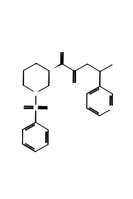 CC(CC(=N)C(=O)[C@@H]1CCCN(S(=O)(=O)c2ccccc2)C1)c1cccnc1